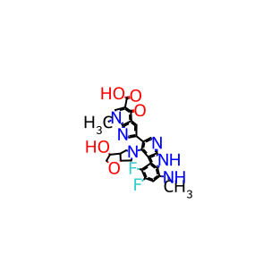 CNc1cc(F)c(F)c2c1[nH]c1ncc(-c3cnc4c(c3)c(=O)c(C(=O)O)cn4C)c(N3CC4OCC(O)C4C3)c12